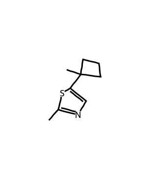 Cc1ncc(C2(C)CCC2)s1